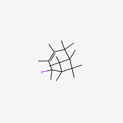 CC1=C(C)C(C)(I)C2(C)C(C)(C)C(C)(C1(C)C)C2(C)C